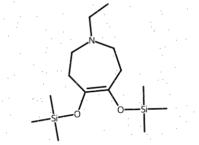 CCN1CCC(O[Si](C)(C)C)=C(O[Si](C)(C)C)CC1